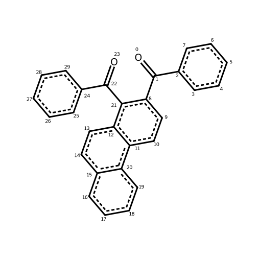 O=C(c1ccccc1)c1ccc2c(ccc3ccccc32)c1C(=O)c1ccccc1